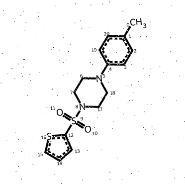 Cc1ccc(N2CCN(S(=O)(=O)c3cccs3)CC2)cc1